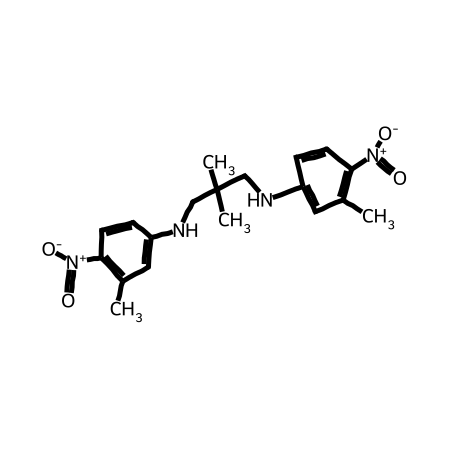 Cc1cc(NCC(C)(C)CNc2ccc([N+](=O)[O-])c(C)c2)ccc1[N+](=O)[O-]